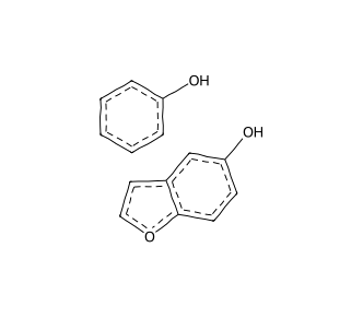 Oc1ccc2occc2c1.Oc1ccccc1